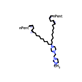 CCCCC/C=C\C/C=C\CCCCCCCCC(CCCCCCCC/C=C\C/C=C\CCCCC)N1CCN(CCN2CCN(C)C2)CC1